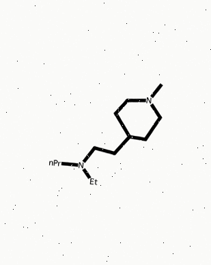 CCCN(CC)CCC1CCN(C)CC1